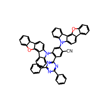 N#Cc1cc(-c2nc(-c3ccccc3)nc(-c3ccccc3)n2)c(-n2c3ccccc3c3c4oc5ccccc5c4ccc32)cc1-n1c2ccccc2c2c3oc4ccccc4c3ccc21